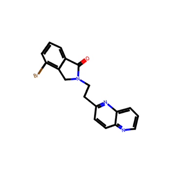 O=C1c2cccc(Br)c2CN1CCc1ccc2ncccc2n1